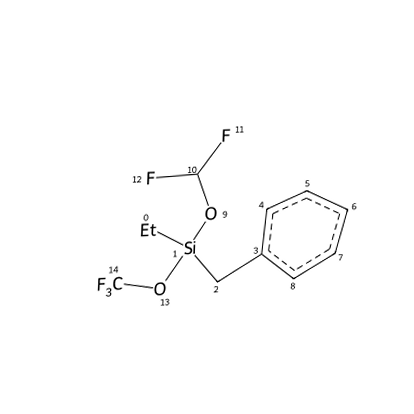 CC[Si](Cc1ccccc1)(OC(F)F)OC(F)(F)F